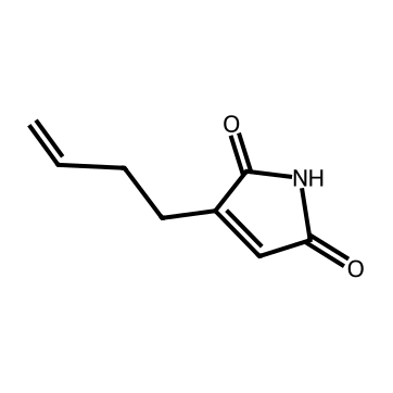 C=CCCC1=CC(=O)NC1=O